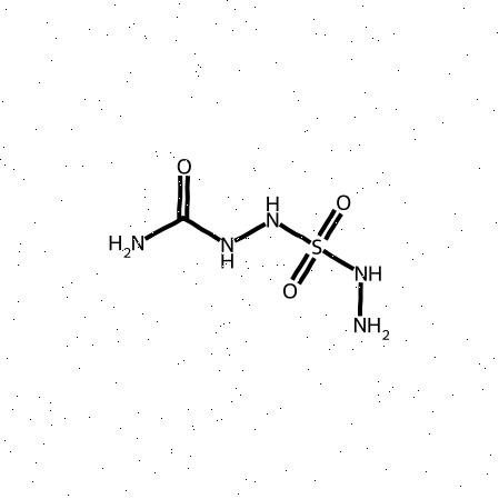 NNS(=O)(=O)NNC(N)=O